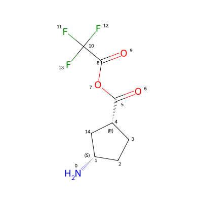 N[C@H]1CC[C@@H](C(=O)OC(=O)C(F)(F)F)C1